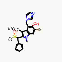 CCOC(=O)c1c(C(c2ccccc2)[S+]([O-])CC)n(C)c2cc(Br)c(O)c(Cn3ccnc3)c12